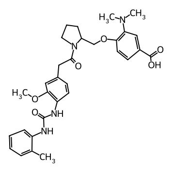 COc1cc(CC(=O)N2CCCC2COc2ccc(C(=O)O)cc2N(C)C)ccc1NC(=O)Nc1ccccc1C